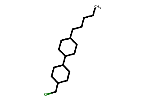 CCCCCC1CCC(C2CCC(CCl)CC2)CC1